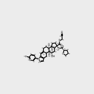 C[C@]12Cc3cnn(-c4ccc(F)nc4)c3C=C1CC[C@@H]1[C@@H]2[C@@H](O)C[C@@]2(C)[C@H]1CC[C@]2(OC(=O)[C@H]1CCCO1)C(=O)SCC#N